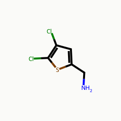 NCc1cc(Cl)c(Cl)s1